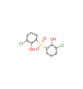 O=S(=O)(c1cccc(Cl)c1O)c1cccc(Cl)c1O